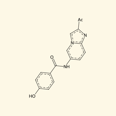 CC(=O)c1cn2cc(NC(=O)c3ccc(O)cc3)ccc2n1